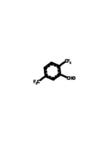 O=Cc1cc(C(F)(F)F)ccc1C(F)(F)F